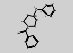 O=C(c1ccccc1)N1CCC(Oc2ccccc2)CC1